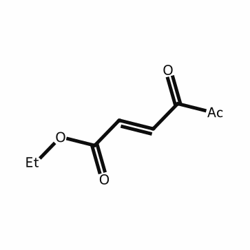 CCOC(=O)/C=C/C(=O)C(C)=O